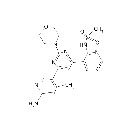 Cc1cc(N)ncc1-c1cc(-c2cccnc2NS(C)(=O)=O)nc(N2CCOCC2)n1